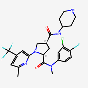 Cc1cc(C(F)(F)F)cc(N2C[C@@H](C(=O)NC3CCNCC3)C[C@H]2C(=O)N(C)c2ccc(F)c(Cl)c2)n1